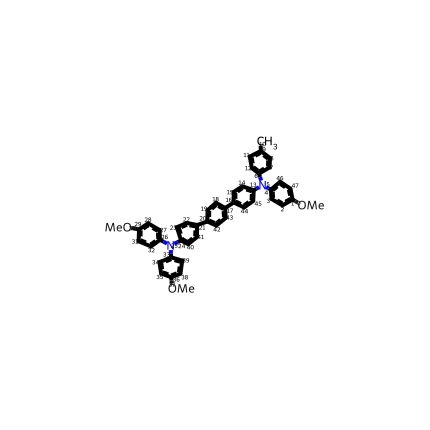 COc1ccc(N(c2ccc(C)cc2)c2ccc(-c3ccc(-c4ccc(N(c5ccc(OC)cc5)c5ccc(OC)cc5)cc4)cc3)cc2)cc1